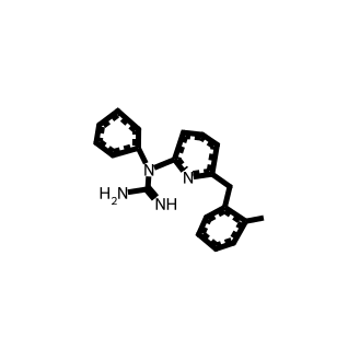 Cc1ccccc1Cc1cccc(N(C(=N)N)c2ccccc2)n1